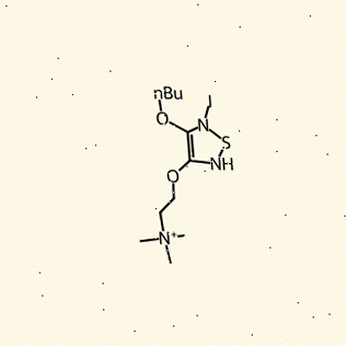 CCCCOC1=C(OCC[N+](C)(C)C)NSN1I